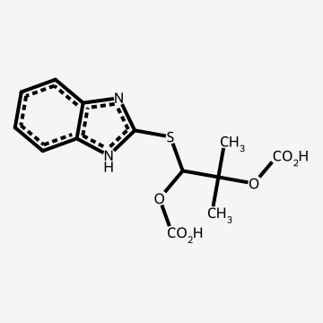 CC(C)(OC(=O)O)C(OC(=O)O)Sc1nc2ccccc2[nH]1